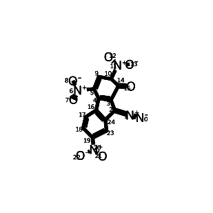 [N-]=[N+]=C1C2=C(C([N+](=O)[O-])=CC([N+](=O)[O-])C2=O)c2ccc([N+](=O)[O-])cc21